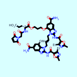 CCc1nc(C)oc1C(=O)Nc1nc2cc(C(N)=O)cc(OC)c2n1C/C=C/Cn1c(NC(=O)c2oc(C)nc2CC)nc2cc(C(N)=O)cc(OCCCOC(=O)[C@@H](CCC(=O)O)NC(=O)CN3C(=O)C=CC3=O)c21